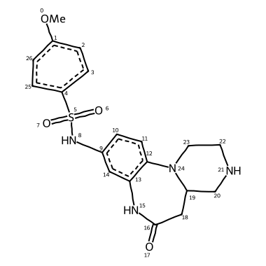 COc1ccc(S(=O)(=O)Nc2ccc3c(c2)NC(=O)CC2CNCCN32)cc1